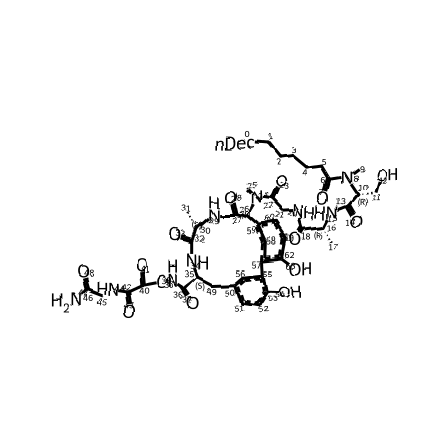 CCCCCCCCCCCCCCCC(=O)N(C)[C@H](CO)C(=O)N[C@H](C)C(=O)NCC(=O)N(C)[C@@H]1C(=O)N[C@@H](C)C(=O)N[C@H](C(=O)NCC(=O)C(=O)NCC(N)=O)Cc2ccc(O)c(c2)-c2cc1ccc2O